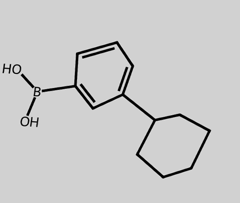 OB(O)c1cccc(C2CCCCC2)c1